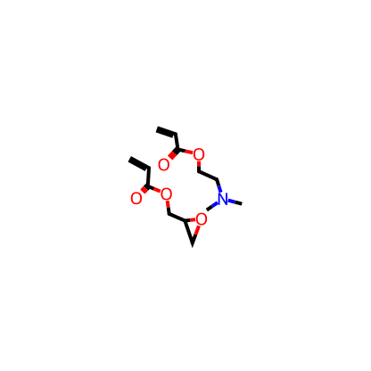 C=CC(=O)OCC1CO1.C=CC(=O)OCCN(C)C